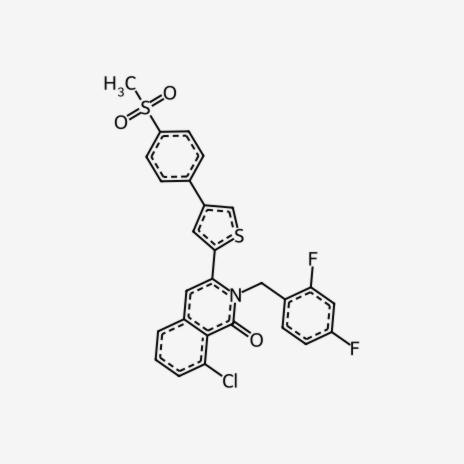 CS(=O)(=O)c1ccc(-c2csc(-c3cc4cccc(Cl)c4c(=O)n3Cc3ccc(F)cc3F)c2)cc1